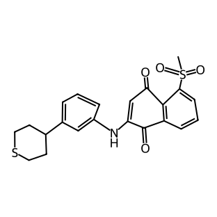 CS(=O)(=O)c1cccc2c1C(=O)C=C(Nc1cccc(C3CCSCC3)c1)C2=O